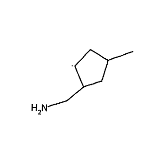 CC1C[CH]C(CN)C1